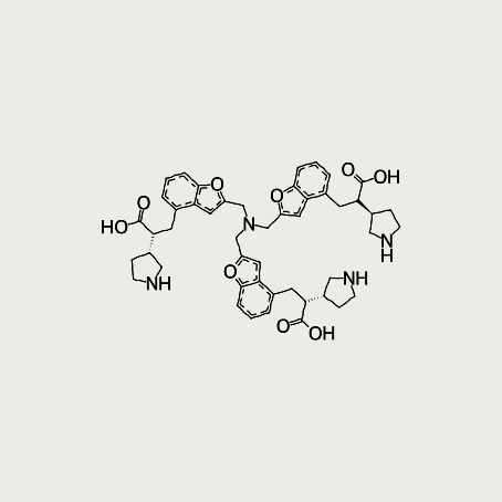 O=C(O)C(Cc1cccc2oc(CN(Cc3cc4c(CC(C(=O)O)[C@H]5CCNC5)cccc4o3)Cc3cc4c(CC(C(=O)O)[C@H]5CCNC5)cccc4o3)cc12)[C@H]1CCNC1